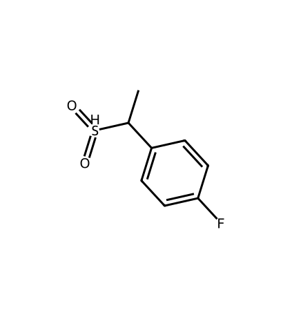 CC(c1ccc(F)cc1)[SH](=O)=O